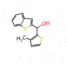 Cc1ccsc1C(O)c1cc2ccccc2s1